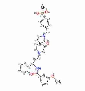 COc1cccc(C(=O)NC(CCN2CCC3(CC2)CCN(Cc2ccc(S(C)(=O)=O)cc2)C3=O)c2ccccc2)c1